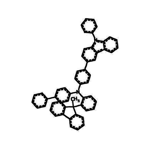 CC1(c2ccccc2N(c2ccc(-c3ccccc3)cc2)c2ccc(-c3ccc4c(c3)c3ccccc3n4-c3ccccc3)cc2)c2ccccc2-c2ccccc21